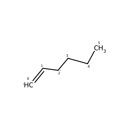 [CH]=C[CH]CCC